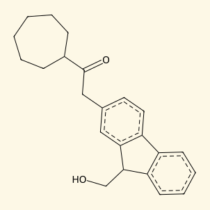 O=C(Cc1ccc2c(c1)C(CO)c1ccccc1-2)C1CCCCCC1